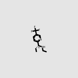 CCN[C@H](CC)c1ccc(C(F)(F)F)cn1